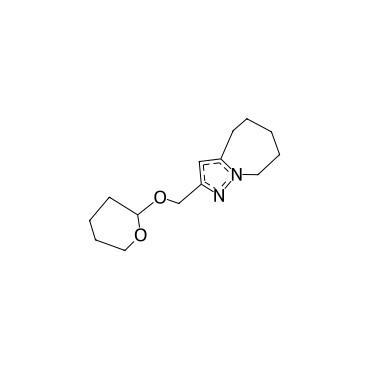 c1c(COC2CCCCO2)nn2c1CCCCC2